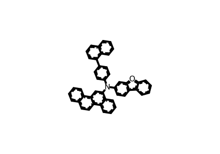 c1ccc2c(-c3ccc(N(c4ccc5c(c4)oc4ccccc45)c4cc5c6ccccc6ccc5c5ccccc45)cc3)cccc2c1